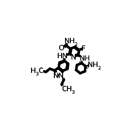 CCCc1nn(CCC)c2ccc(Nc3nc(N[C@@H]4CCCC[C@@H]4N)c(F)cc3C(N)=O)cc12